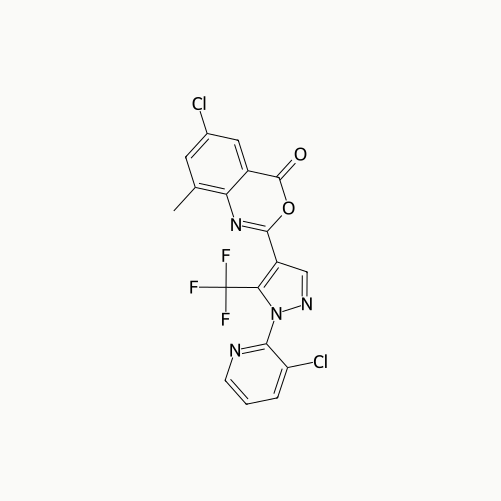 Cc1cc(Cl)cc2c(=O)oc(-c3cnn(-c4ncccc4Cl)c3C(F)(F)F)nc12